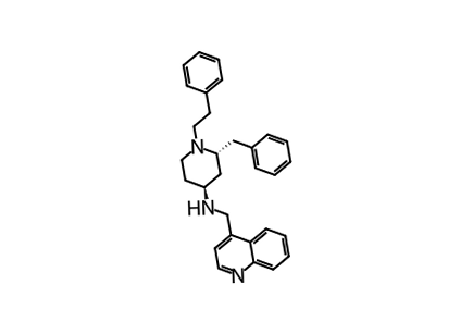 c1ccc(CCN2CC[C@H](NCc3ccnc4ccccc34)C[C@H]2Cc2ccccc2)cc1